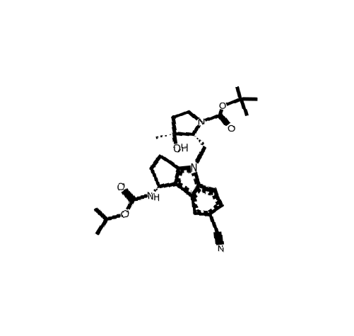 CC(C)OC(=O)N[C@@H]1CCc2c1c1cc(C#N)ccc1n2C[C@H]1N(C(=O)OC(C)(C)C)CC[C@]1(C)O